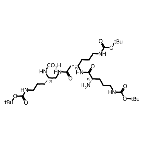 CC(C)(C)OC(=O)NCCC[C@@H](CNC(=O)C[C@H](CCCNC(=O)OC(C)(C)C)NC(=O)[C@@H](N)CCCNC(=O)OC(C)(C)C)NC(=O)O